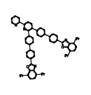 CC(C)c1ccc(C(C)C)c2oc(-c3ccc(-c4ccc(-c5ccc(-c6ccccn6)nc5-c5ccc(-c6ccc(-c7nc8c(C(C)C)ccc(C(C)C)c8o7)cc6)cc5)cc4)cc3)nc12